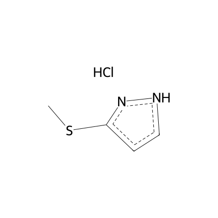 CSc1cc[nH]n1.Cl